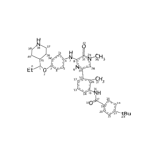 CCC(Oc1ccc(Nc2nc(-c3cccc(NC(=O)c4ccc(C(C)(C)C)cc4)c3C)cn(C)c2=O)cc1)C1CCNCC1